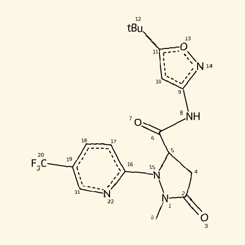 CN1C(=O)CC(C(=O)Nc2cc(C(C)(C)C)on2)N1c1ccc(C(F)(F)F)cn1